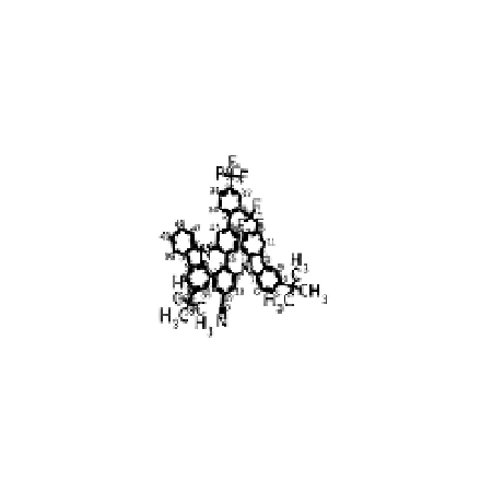 CC(C)(C)c1ccc2c(c1)c1ccccc1n2-c1cc(C#N)ccc1-c1ccc(-c2ccc(C(F)(F)F)cc2C(F)(F)F)cc1-n1c2ccccc2c2cc(C(C)(C)C)ccc21